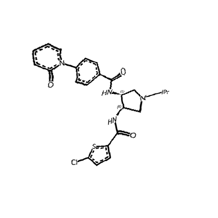 CC(C)N1C[C@H](NC(=O)c2ccc(-n3ccccc3=O)cc2)[C@H](NC(=O)c2ccc(Cl)s2)C1